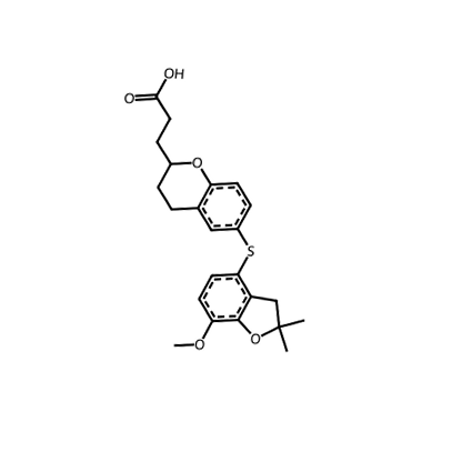 COc1ccc(Sc2ccc3c(c2)CCC(CCC(=O)O)O3)c2c1OC(C)(C)C2